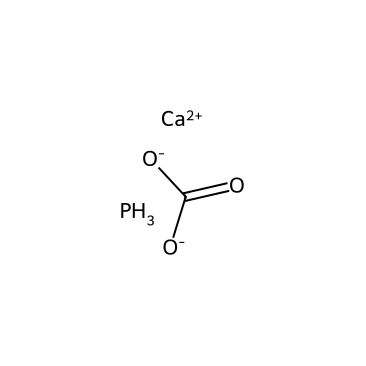 O=C([O-])[O-].P.[Ca+2]